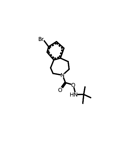 CC(C)(C)NOC(=O)N1CCc2ccc(Br)cc2CC1